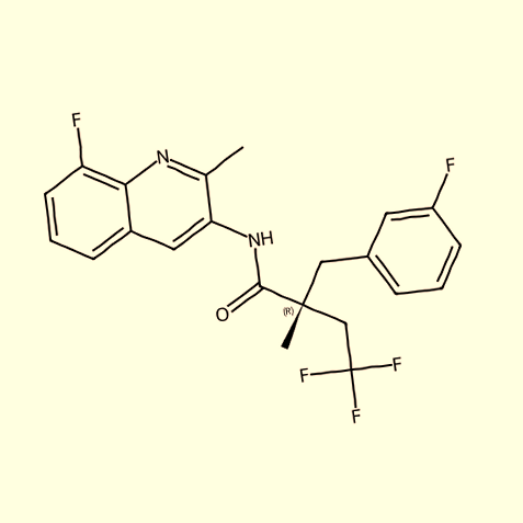 Cc1nc2c(F)cccc2cc1NC(=O)[C@](C)(Cc1cccc(F)c1)CC(F)(F)F